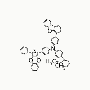 CC1(C)c2ccccc2-c2ccc(N(c3ccc(-c4sc(-c5ccccc5)c5c4Oc4ccccc4O5)cc3)c3ccc(-c4cccc5c4oc4ccccc45)cc3)cc21